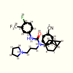 N#Cc1cccc([C@@]23CC[C@@H](N(CCCN4CCCC4)C(=O)Nc4ccc(F)c(C(F)(F)F)c4)CC2C3)c1